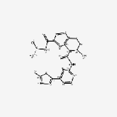 C=C(N[C@@H](Cl)C(F)(F)F)c1ccc2c(n1)N(C(=C)Nc1cc(C3=CN=C(C)C3)ccn1)C(CCC)CC2